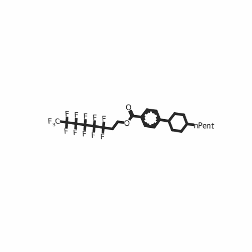 CCCCCC1CCC(c2ccc(C(=O)OCCC(F)(F)C(F)(F)C(F)(F)C(F)(F)C(F)(F)C(F)(F)F)cc2)CC1